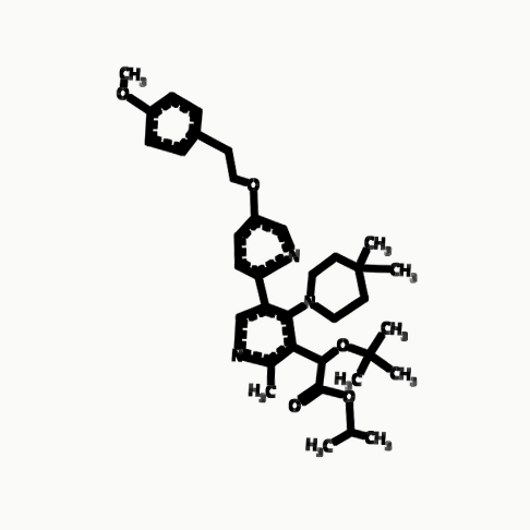 COc1ccc(CCOc2ccc(-c3cnc(C)c(C(OC(C)(C)C)C(=O)OC(C)C)c3N3CCC(C)(C)CC3)nc2)cc1